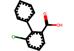 O=C(O)c1[c]ccc(Cl)c1-c1ccccc1